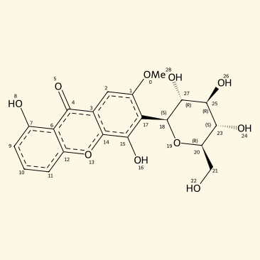 COc1cc2c(=O)c3c(O)cccc3oc2c(O)c1[C@@H]1O[C@H](CO)[C@@H](O)[C@H](O)[C@H]1O